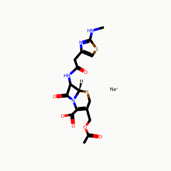 CNc1nc(CC(=O)NC2C(=O)N3C(C(=O)[O-])=C(COC(C)=O)CS[C@@H]23)cs1.[Na+]